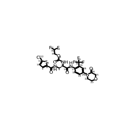 O=C(N[C@H](CNC(=O)c1ccc(Cl)s1)C(=O)Nc1ccc(N2CCOCC2=O)cc1C(F)(F)F)OCC(F)F